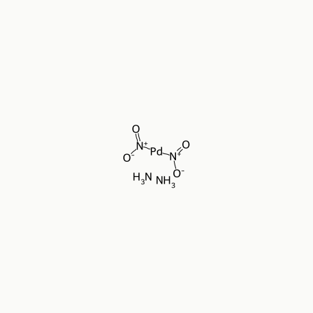 N.N.O=[N+]([O-])[Pd][N+](=O)[O-]